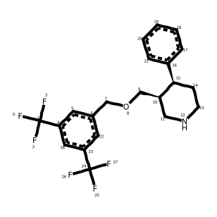 FC(F)(F)c1cc(COC[C@@H]2CNCC[C@@H]2c2ccccc2)cc(C(F)(F)F)c1